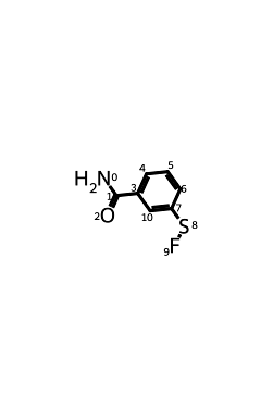 NC(=O)c1cccc(SF)c1